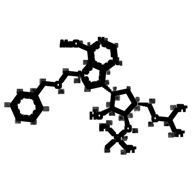 COc1ncnc2c([C@@H]3C[C@H](COC(C(C)C)C(C)C)[C@@H](O[Si](C)(C(C)C)C(C)C)[C@H]3O)cn(COCc3ccccc3)c12